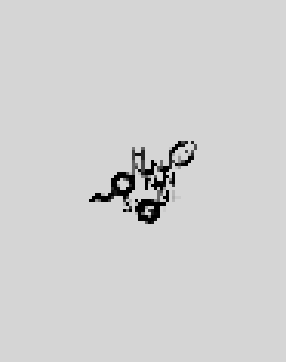 C/C=C/c1ccc(Nc2nc(Nc3ccccc3)nc(N3CCOCC3)n2)cc1S(=O)(=O)O